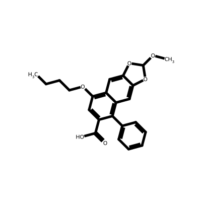 CCCCOc1cc(C(=O)O)c(-c2ccccc2)c2cc3c(cc12)OC(OC)O3